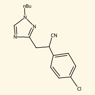 CCCCn1cnc(CC(C#N)c2ccc(Cl)cc2)n1